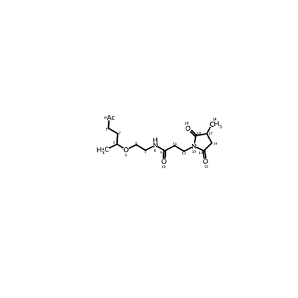 CC(=O)CCC(C)OCCNC(=O)CCN1C(=O)CC(C)C1=O